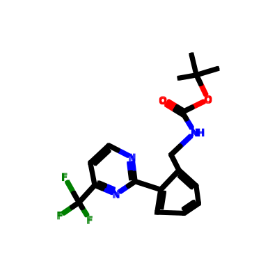 CC(C)(C)OC(=O)NCc1ccccc1-c1nccc(C(F)(F)F)n1